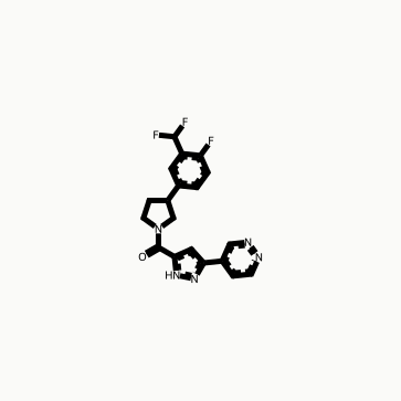 O=C(c1cc(-c2ccnnc2)n[nH]1)N1CCC(c2ccc(F)c(C(F)F)c2)C1